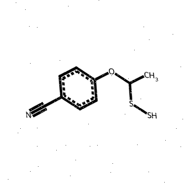 CC(Oc1ccc(C#N)cc1)SS